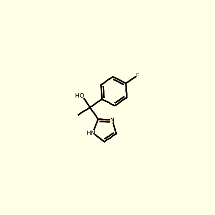 CC(O)(c1ccc(F)cc1)c1ncc[nH]1